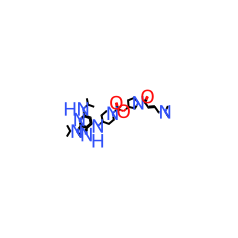 CC(C)Nc1cc(NC2CCN(C(=O)OC3CCN(C(=O)/C=C/CN(C)C)C3)CC2)c2ncn(C(C)C)c2n1